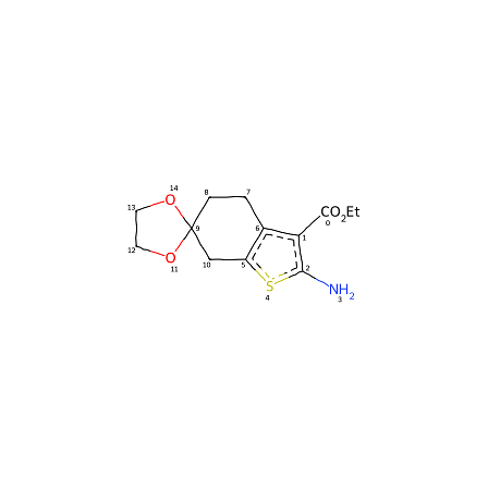 CCOC(=O)c1c(N)sc2c1CCC1(C2)OCCO1